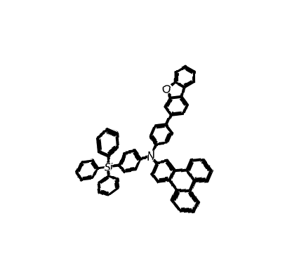 c1ccc([Si](c2ccccc2)(c2ccccc2)c2ccc(N(c3ccc(-c4ccc5c(c4)oc4ccccc45)cc3)c3ccc4c5ccccc5c5ccccc5c4c3)cc2)cc1